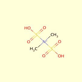 C[N+](C)(S(=O)(=O)O)S(=O)(=O)O